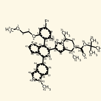 COCCOc1cc(F)cc(F)c1-c1c(-c2cc3n(n2)[C@@H](C)CN(C(=O)OC(C)(C)C)[C@@H]3C)nc(-c2ccc3c(cnn3C)c2)c2ccsc12